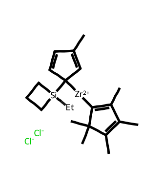 CC[Si]1([C]2([Zr+2][C]3=C(C)C(C)=C(C)C3(C)C)C=CC(C)=C2)CCC1.[Cl-].[Cl-]